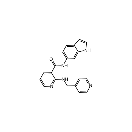 O=C(Nc1ccc2cc[nH]c2c1)c1cccnc1NCc1ccncc1